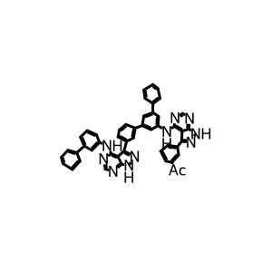 CC(=O)c1cccc(-c2n[nH]c3ncnc(Nc4cc(-c5ccccc5)cc(-c5cccc(-c6n[nH]c7ncnc(Nc8cccc(-c9ccccc9)c8)c67)c5)c4)c23)c1